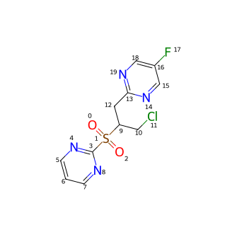 O=S(=O)(c1ncccn1)C(CCl)Cc1ncc(F)cn1